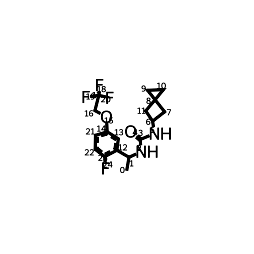 CC(NC(=O)NC1CC2(CC2)C1)c1cc(OCC(F)(F)F)ccc1F